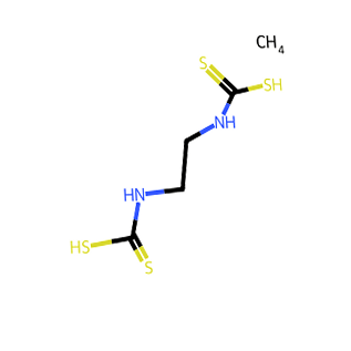 C.S=C(S)NCCNC(=S)S